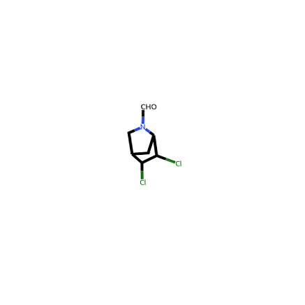 O=CN1CC2CC1C(Cl)C2Cl